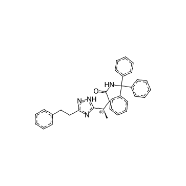 C[C@H](CC(=O)NC(c1ccccc1)(c1ccccc1)c1ccccc1)c1nc(CCc2ccccc2)n[nH]1